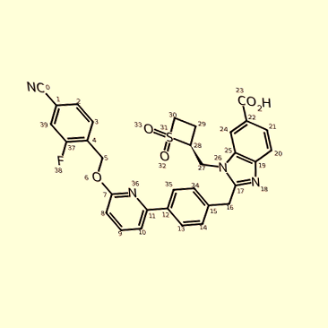 N#Cc1ccc(COc2cccc(-c3ccc(Cc4nc5ccc(C(=O)O)cc5n4C[C@@H]4CCS4(=O)=O)cc3)n2)c(F)c1